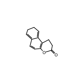 O=C1CCc2c(ccc3c2=CCCC=3)O1